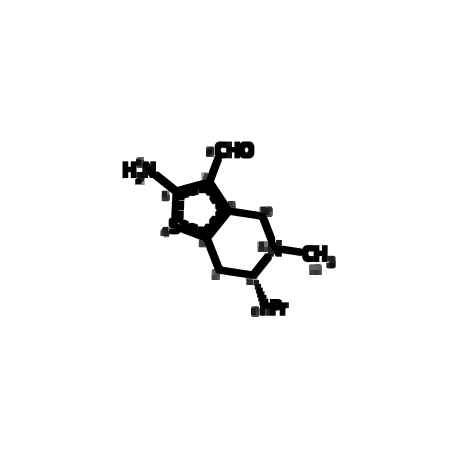 CCC[C@@H]1Cc2sc(N)c(C=O)c2CN1C